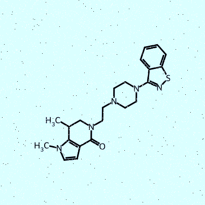 CC1CN(CCN2CCN(c3nsc4ccccc34)CC2)C(=O)c2ccn(C)c21